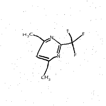 Cc1[c]c(C)nc(C(F)(F)F)n1